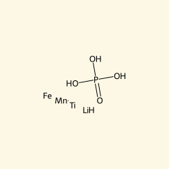 O=P(O)(O)O.[Fe].[LiH].[Mn].[Ti]